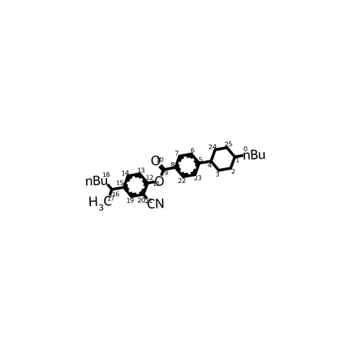 CCCCC1CCC(c2ccc(C(=O)Oc3ccc(C(C)CCCC)cc3C#N)cc2)CC1